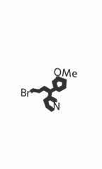 COc1cccc(C(=CCCBr)c2cccnc2)c1